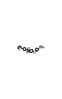 CC(C)(C)c1ccc(Oc2ccc(S(=O)(=O)c3ccc(-c4ccccc4)cc3)cc2)cc1